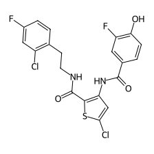 O=C(Nc1cc(Cl)sc1C(=O)NCCc1ccc(F)cc1Cl)c1ccc(O)c(F)c1